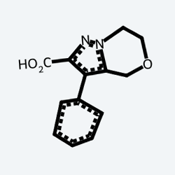 O=C(O)c1nn2c(c1-c1ccccc1)COCC2